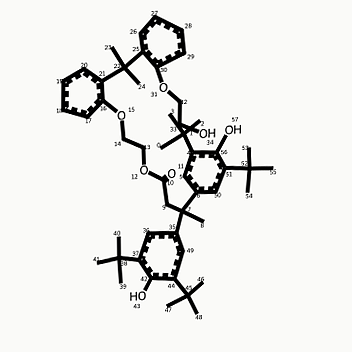 CC(C)(C)c1cc(C(C)(CC(=O)OCCOc2ccccc2C(C)(C)c2ccccc2OCCO)c2cc(C(C)(C)C)c(O)c(C(C)(C)C)c2)cc(C(C)(C)C)c1O